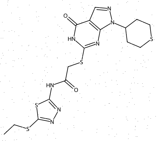 CCSc1nnc(NC(=O)CSc2nc3c(cnn3C3CCSCC3)c(=O)[nH]2)s1